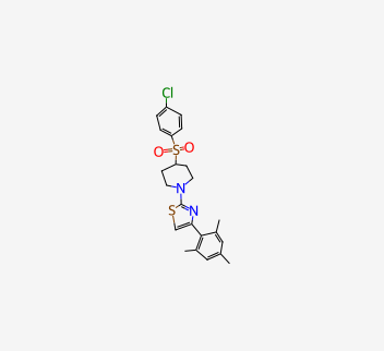 Cc1cc(C)c(-c2csc(N3CCC(S(=O)(=O)c4ccc(Cl)cc4)CC3)n2)c(C)c1